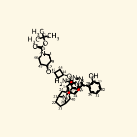 CC(C)(C)OC(=O)N1CCC(O[C@H]2C[C@H](Oc3cc(N4C5CCC4CN(c4cc(-c6ccccc6O)nnc4N)C5)ccn3)C2)CC1